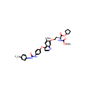 COc1cc2c(Oc3ccc(NC(=O)Nc4ccc(C(F)(F)F)cc4)cc3)ccnc2cc1OCC[C@H](NC(=O)OC(C)(C)C)C(=O)OC1CCCC1